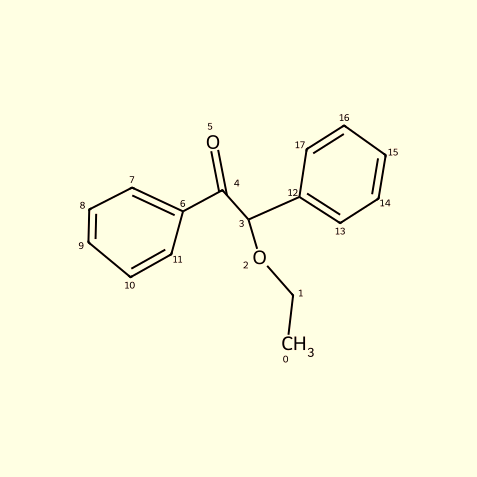 CCOC(C(=O)c1ccccc1)c1ccccc1